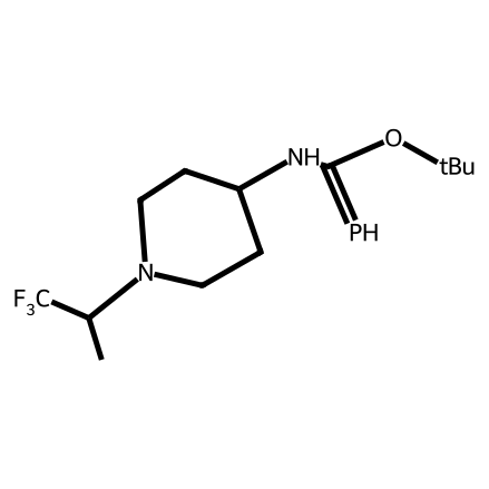 CC(N1CCC(NC(=P)OC(C)(C)C)CC1)C(F)(F)F